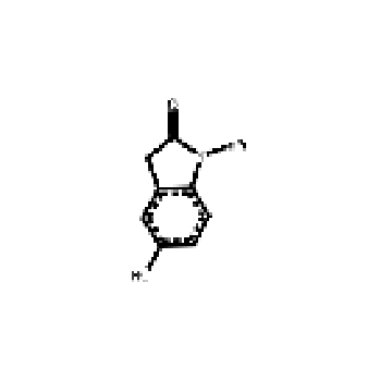 CCCN1C(=O)Cc2cc(C#N)ccc21